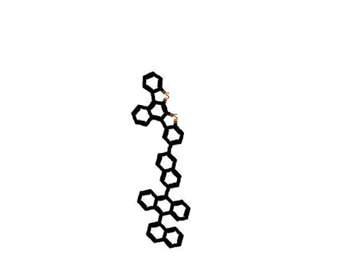 c1ccc2c(-c3c4ccccc4c(-c4ccc5cc(-c6ccc7sc8c9sc%10ccccc%10c9c9ccccc9c8c7c6)ccc5c4)c4ccccc34)cccc2c1